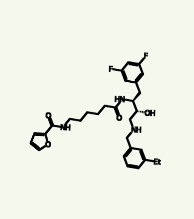 CCc1cccc(CNC[C@@H](O)[C@H](Cc2cc(F)cc(F)c2)NC(=O)CCCCCNC(=O)c2ccco2)c1